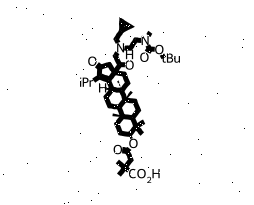 CC(C)C1=C2[C@H]3CCC4[C@@]5(C)CC[C@H](OC(=O)CC(C)(C)C(=O)O)C(C)(C)C5CC[C@@]4(C)[C@]3(C)CCC2(C(O)CN(CCN(C)C(=O)OC(C)(C)C)CC2CC2)CC1=O